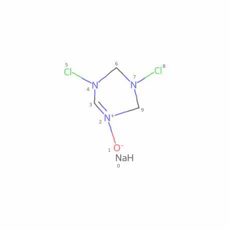 [NaH].[O-][N+]1=CN(Cl)CN(Cl)C1